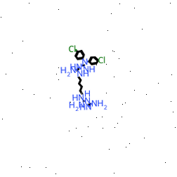 N=C(N)NC(N)NCCCCCCNC(N)NC(=N)N(c1ccc(Cl)cc1)c1ccc(Cl)cc1